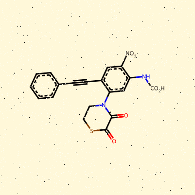 O=C(O)Nc1cc(N2CCSC(=O)C2=O)c(C#Cc2ccccc2)cc1[N+](=O)[O-]